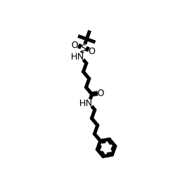 CC(C)(C)S(=O)(=O)NCCCCC(=O)NCCCCc1ccccc1